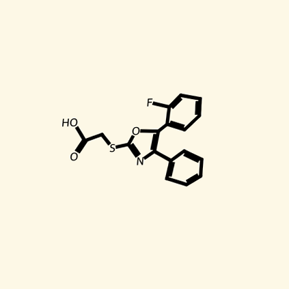 O=C(O)CSc1nc(-c2ccccc2)c(-c2ccccc2F)o1